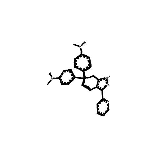 CN(C)c1ccc(C2(c3ccc(N(C)C)cc3)C=Cc3c(-c4ccccn4)n[nH]c3C2)cc1